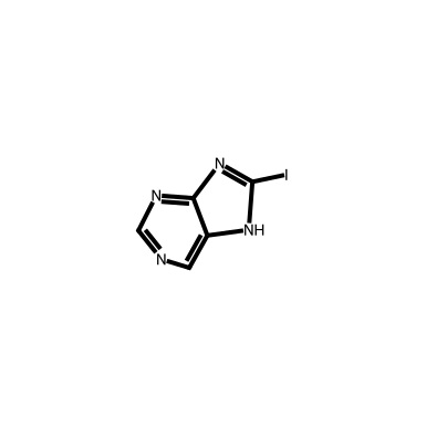 Ic1nc2ncncc2[nH]1